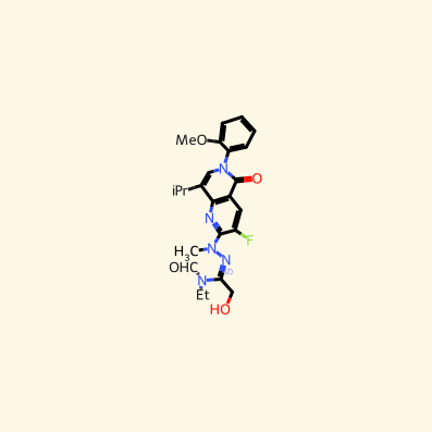 CCN(C=O)/C(CO)=N\N(C)c1nc2c(C(C)C)cn(-c3ccccc3OC)c(=O)c2cc1F